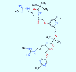 COC(C)(C)C(=O)NC(CCCNC(=N)NC#N)C(=O)COc1cc(C)nc(CCOC(C)(C)C(=O)NC(CCCNC(=N)NC#N)C(=O)COc2cnc(C)nc2)c1